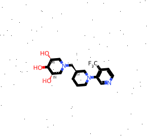 OC1[C@H](O)CN(C[C@@H]2CCCN(c3cnccc3C(F)(F)F)C2)C[C@@H]1O